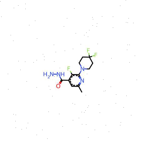 Cc1cc(C(=O)NN)c(F)c(N2CCC(F)(F)CC2)n1